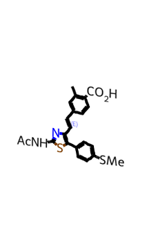 CSc1ccc(-c2sc(NC(C)=O)nc2/C=C/c2ccc(C(=O)O)c(C)c2)cc1